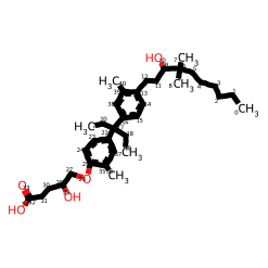 CCCCCCC(C)(C)C(O)CCc1ccc(C(CC)(CC)c2ccc(OCC(O)CCC(=O)O)c(C)c2)cc1C